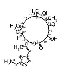 C/C(=C\c1csc(CN)n1)[C@@H]1C[C@@H]2O[C@]2(C)CCCC(C)[C@H](O)C(C)C(=O)CC(O)CC(=O)O1